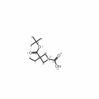 CCC1(C(=O)OC(C)(C)C)CN(C(=O)O)C1